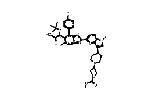 COC(=O)N1CC(N2CCC(c3cn(C)c4ccc(-c5nc6cc(C)c([C@H](OC(C)(C)C)C(=O)O)c(-c7ccc(Cl)cc7)c6s5)nc34)CC2)C1